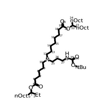 CCCCCCCCC(CC)OC(=O)CCCCCN(CCCCCCCC(=O)OC(CCCCCCCC)CCCCCCCC)CCCNC(=O)OC(C)(C)C